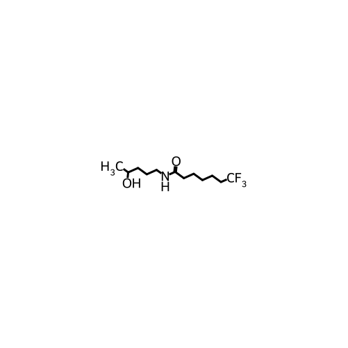 CC(O)CCCNC(=O)CCCCCC(F)(F)F